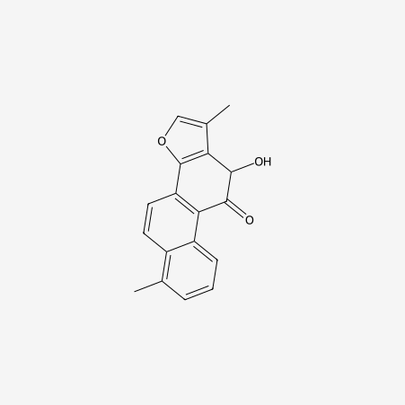 Cc1coc2c1C(O)C(=O)c1c-2ccc2c(C)cccc12